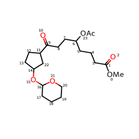 COC(=O)CCCC(CCC(=O)C1CCC(OC2CCCCO2)C1)OC(C)=O